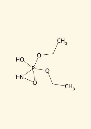 CCOP1(O)(OCC)NO1